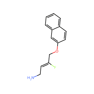 NCC=C(F)COc1ccc2ccccc2c1